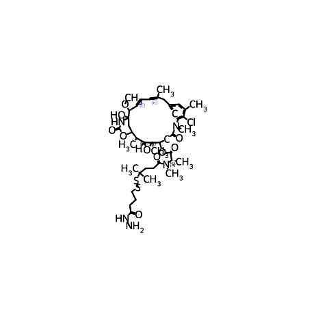 COC1/C=C/C=C(\C)Cc2cc(C)c(Cl)c(c2)N(C)C(=O)CC(OC(=O)[C@H](C)N(C)C(=O)CCC(C)(C)SSCCCC(=O)NN)[C@@]2(C)O[C@@H]2C(C)C2CC1(O)NC(=O)O2